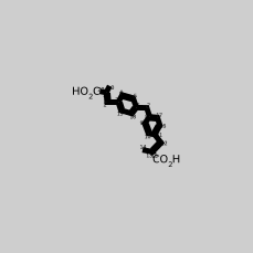 CC(=Cc1ccc(Cc2ccc(C=C(C)C(=O)O)cc2)cc1)C(=O)O